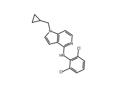 Clc1cccc(Cl)c1Nc1nccc2c1ccn2CC1CC1